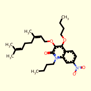 CCCCOc1c(OCC=C(C)CCC=C(C)C)c(=O)n(CCCC)c2cc([N+](=O)[O-])ccc12